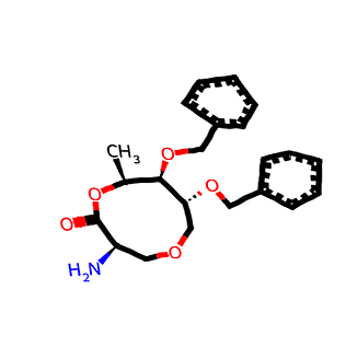 C[C@@H]1OC(=O)[C@H](N)COC[C@@H](OCc2ccccc2)[C@@H]1OCc1ccccc1